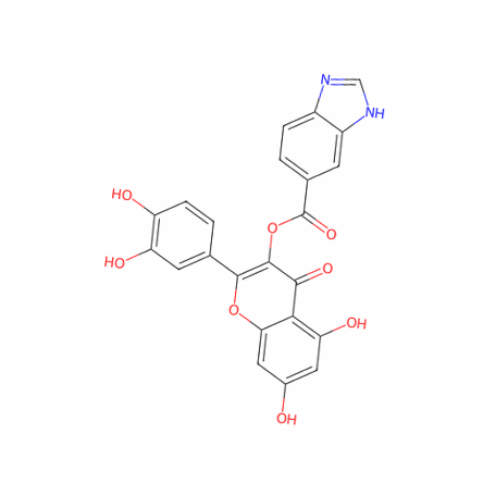 O=C(Oc1c(-c2ccc(O)c(O)c2)oc2cc(O)cc(O)c2c1=O)c1ccc2nc[nH]c2c1